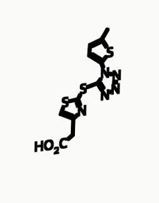 Cc1ccc(-n2nnnc2Sc2nc(CC(=O)O)cs2)s1